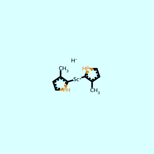 Cc1cc[pH][c]1[Sc+][c]1[pH]ccc1C.[H-]